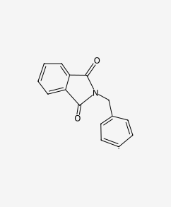 O=C1c2ccccc2C(=O)N1Cc1cc[c]cc1